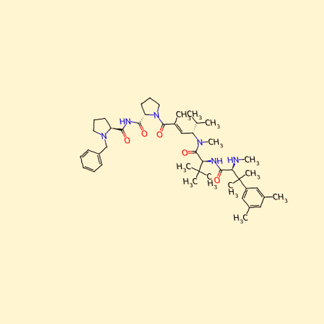 CN[C@H](C(=O)N[C@H](C(=O)N(C)[C@H](/C=C(\C)C(=O)N1CCC[C@H]1C(=O)NC(=O)[C@@H]1CCCN1Cc1ccccc1)C(C)C)C(C)(C)C)C(C)(C)c1cc(C)cc(C)c1